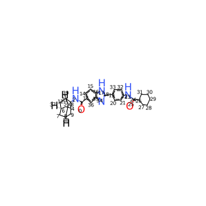 O=C(NC1C2C[C@H]3C[C@@H](C2)C[C@@H]1C3)c1ccc2[nH]c(-c3ccc(NC(=O)C4CCCCC4)cc3)nc2c1